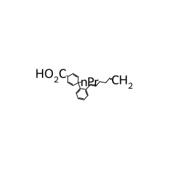 C=CCC/C=C/c1ccccc1C1(CCC)C=CC(C(=O)O)C=C1